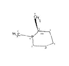 C[C@H]1CCCCP1C